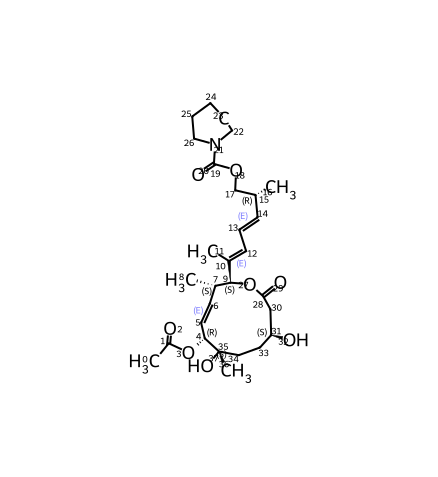 CC(=O)O[C@@H]1/C=C/[C@H](C)[C@@H](/C(C)=C/C=C/[C@@H](C)COC(=O)N2CCCCC2)OC(=O)C[C@@H](O)CC[C@]1(C)O